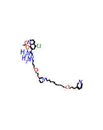 CC(=O)Oc1c(/C(N)=C/N(N)CCCCOCCCc2ccc[n+](CCCCCCCCOCCCc3cccnc3)c2)cc(Cl)c2cccnc12